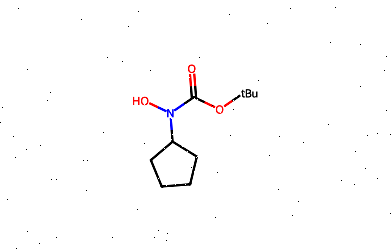 CC(C)(C)OC(=O)N(O)C1CCCC1